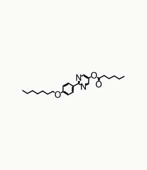 CCCCCCCOc1ccc(-c2ncc(OC(=O)CCCCC)cn2)cc1